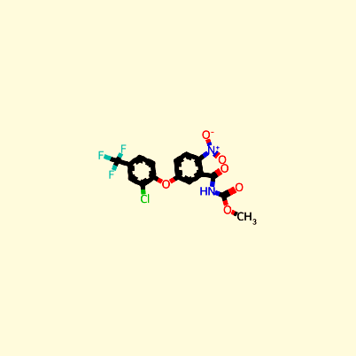 COC(=O)NC(=O)c1cc(Oc2ccc(C(F)(F)F)cc2Cl)ccc1[N+](=O)[O-]